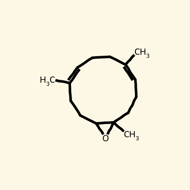 CC1=CCCC2(C)OC2CCC(C)=CCC1